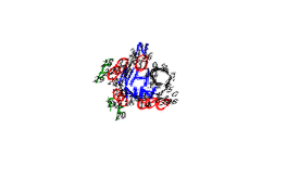 C[C@]1(C(=O)[C@H](Cc2ccccc2)NC(=O)[C@H](COC(F)F)NC(=O)[C@H](COC(F)F)NC(=O)c2cnco2)CO1